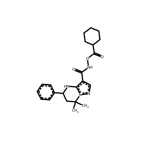 CC1(C)CC(c2ccccc2)Nc2c(C(=O)NOC(=O)C3CCCCC3)cnn21